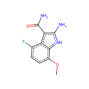 COc1ccc(F)c2c(C(N)=O)c(N)[nH]c12